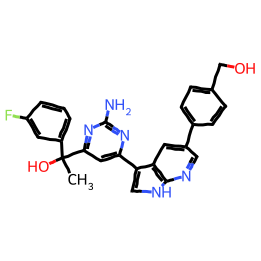 CC(O)(c1cccc(F)c1)c1cc(-c2c[nH]c3ncc(-c4ccc(CO)cc4)cc23)nc(N)n1